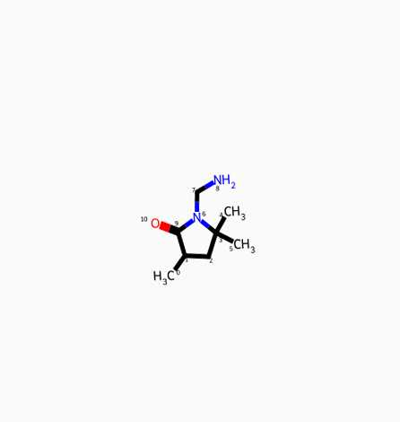 CC1CC(C)(C)N(CN)C1=O